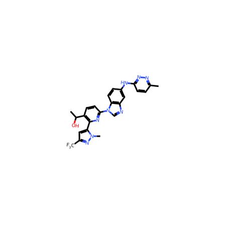 Cc1ccc(Nc2ccc3c(c2)ncn3-c2ccc(C(C)O)c(-c3cc(C(F)(F)F)nn3C)n2)nn1